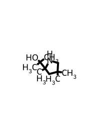 CC1(C)CNC(C)(C(C)(C)O)C1